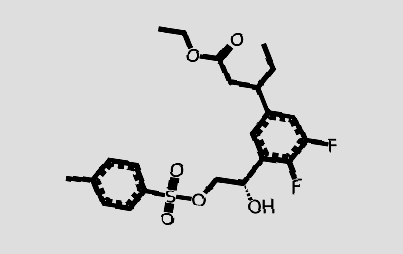 CCOC(=O)CC(CC)c1cc(F)c(F)c([C@H](O)COS(=O)(=O)c2ccc(C)cc2)c1